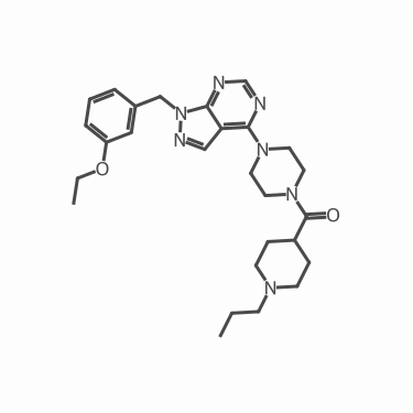 CCCN1CCC(C(=O)N2CCN(c3ncnc4c3cnn4Cc3cccc(OCC)c3)CC2)CC1